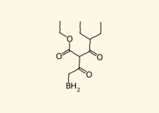 BCC(=O)C(C(=O)OCC)C(=O)C(CC)CC